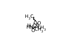 CCCCOC(=O)N(C)C(C)(C)C([NH])=O